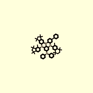 Cc1cc2c(cc1N1c3cc(-c4ccccc4)ccc3B3c4cc5c(cc4N(c4ccc6c(c4C)C(C)(C)CC6(C)C)c4cc(N(c6ccccc6)c6ccccc6)cc1c43)C(C)(C)CC5(C)C)C(C)(C)CCC2(C)C